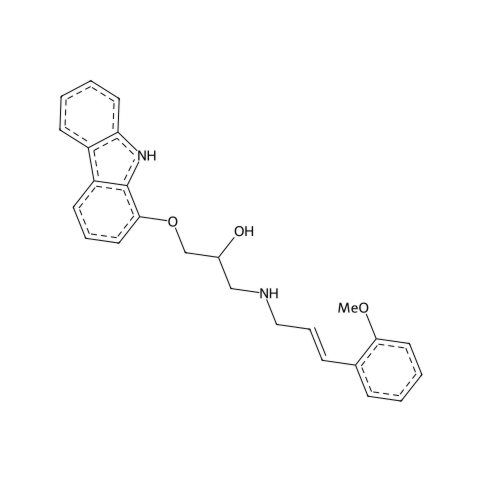 COc1ccccc1C=CCNCC(O)COc1cccc2c1[nH]c1ccccc12